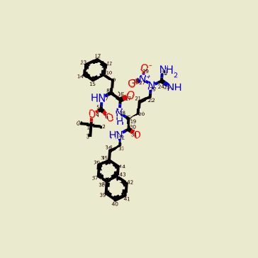 CC(C)(C)OC(=O)NC(Cc1ccccc1)C(=O)N[C@@H](CCCN(C(=N)N)[N+](=O)[O-])C(=O)NCCc1ccc2ccccc2c1